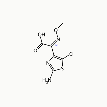 CO/N=C(\C(=O)O)c1nc(N)sc1Cl